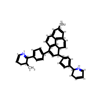 CC1CC=CN=C1c1ccc(C2=CC(c3ccc(C4CC=CC=N4)cc3)C3C=Cc4cc(C(C)(C)C)cc5ccc2c3c45)cc1